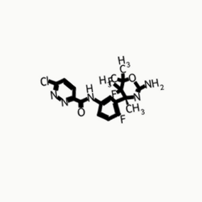 CC1(C)OC(N)=N[C@](C)(c2cc(NC(=O)c3ccc(Cl)nn3)ccc2F)C1(F)F